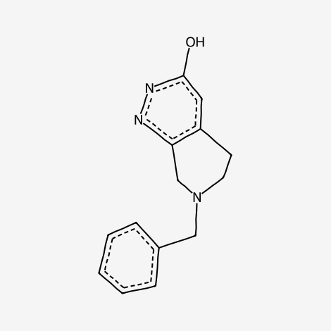 Oc1cc2c(nn1)CN(Cc1ccccc1)CC2